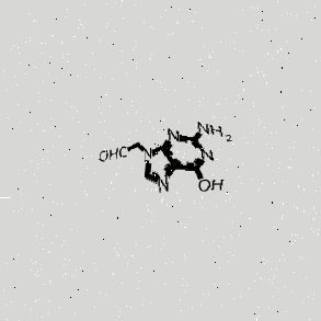 Nc1nc(O)c2ncn(CC=O)c2n1